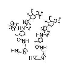 CCc1cc(Nc2nccn3c(-c4ccc(OC(F)F)c(F)c4F)cnc23)ccc1C(=O)NCCC1C[N+](C)(CC2CNC2)C1.CCc1cc(Nc2nccn3c(-c4ccc(OC(F)F)c(F)c4F)cnc23)ccc1C(=O)NCCC1C[N+](C)(CC2CNC2)C1.O=C[O-].O=C[O-]